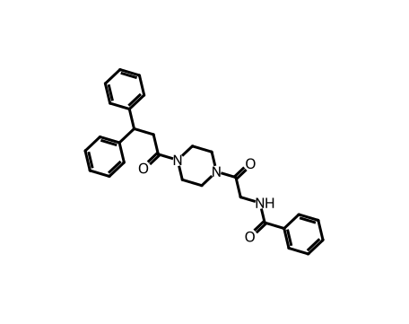 O=C(NCC(=O)N1CCN(C(=O)CC(c2ccccc2)c2ccccc2)CC1)c1ccccc1